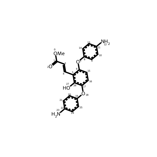 COC(=O)C=Cc1c(Oc2ccc(N)cc2)ccc(Oc2ccc(N)cc2)c1O